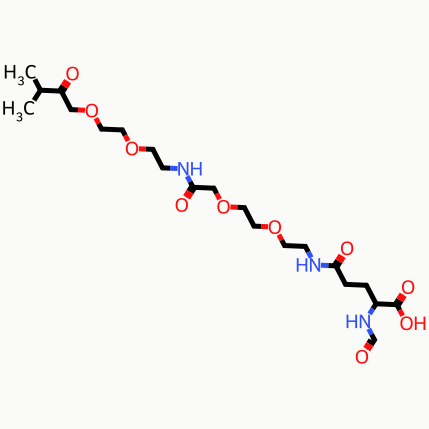 CC(C)C(=O)COCCOCCNC(=O)COCCOCCNC(=O)CCC(NC=O)C(=O)O